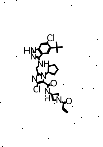 C=CC(=O)N1CC(NC(=O)c2c(Cl)nc(CNc3n[nH]c4cc(Cl)c(C(C)(C)C)cc34)n2C2CCCC2)C1